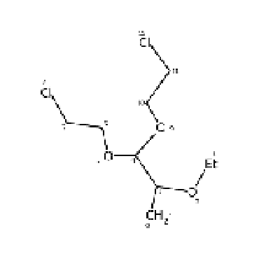 [CH2]C(OCC)C(OCCCl)OCCCl